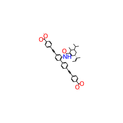 C/C=C(/C)[C@@H]1C=C(C(=O)Nc2cc(C#Cc3ccc(C(=O)OC)cc3)ccc2-c2ccc(C#Cc3ccc(C(=O)OC)cc3)cc2)C(C)C(C(C)C)C1